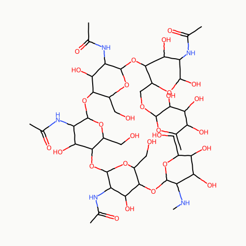 CNC1C(OC2C(CO)OC(OC3C(CO)OC(OC4C(CO)OC(OC5C(COC6OC(C)C(O)C(O)C6O)OC(O)C(NC(C)=O)C5O)C(NC(C)=O)C4O)C(NC(C)=O)C3O)C(NC(C)=O)C2O)OC(CO)C(O)C1O